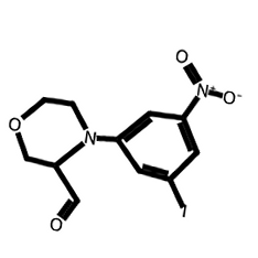 O=CC1COCCN1c1cc(I)cc([N+](=O)[O-])c1